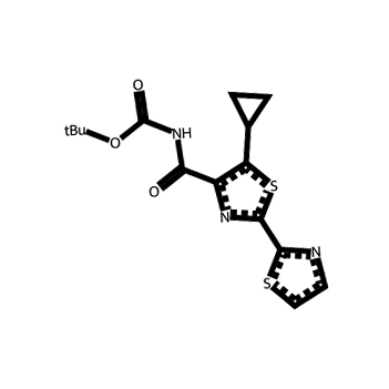 CC(C)(C)OC(=O)NC(=O)c1nc(-c2nccs2)sc1C1CC1